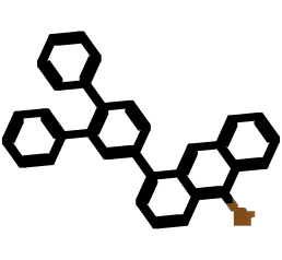 Brc1c2ccccc2cc2c(-c3ccc(-c4ccccc4)c(-c4ccccc4)c3)cccc12